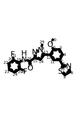 COc1ccc(-c2nccs2)cc1-c1cc(C(=O)Nc2c(F)cccc2F)nn1C